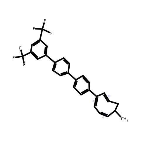 CC1\C=C/C=C(c2ccc(-c3ccc(-c4cc(C(F)(F)F)cc(C(F)(F)F)c4)cc3)cc2)\C=C\C1